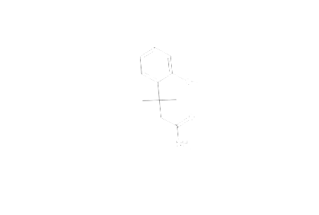 CC(C)(CC(N)=O)c1ccccc1O